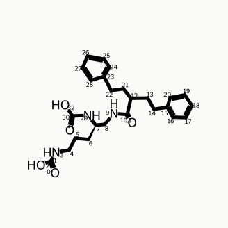 O=C(O)NCCC[C@H](CNC(=O)C(CCc1ccccc1)CCc1ccccc1)NC(=O)O